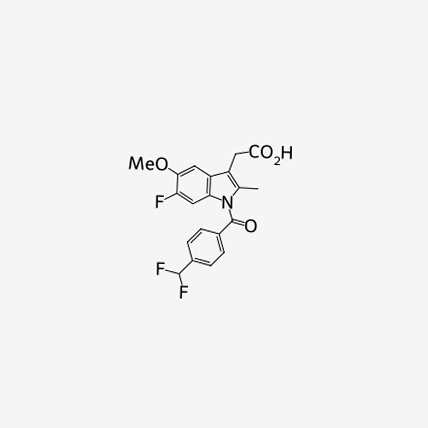 COc1cc2c(CC(=O)O)c(C)n(C(=O)c3ccc(C(F)F)cc3)c2cc1F